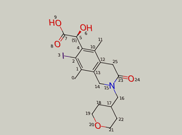 Cc1c(I)c([C@H](O)C(=O)O)c(C)c2c1CN(CC1CCOCC1)C(=O)C2